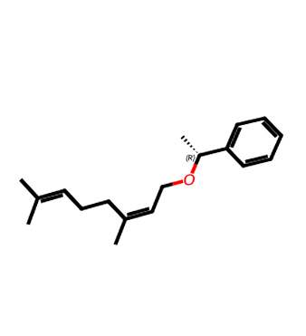 CC(C)=CCCC(C)=CCO[C@H](C)c1ccccc1